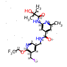 Cc1cc(C(=O)NCc2cnc(OCC(F)(F)F)c(CI)c2)cc(NC(=O)C(C)(C)O)n1